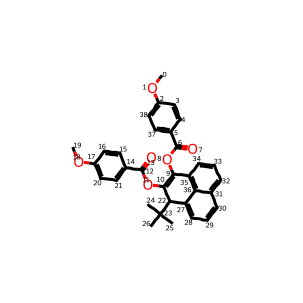 COc1ccc(C(=O)OC2=C(OC(=O)c3ccc(OC)cc3)C(C(C)(C)C)c3cccc4cccc2c34)cc1